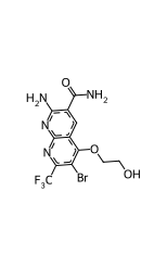 NC(=O)c1cc2c(OCCO)c(Br)c(C(F)(F)F)nc2nc1N